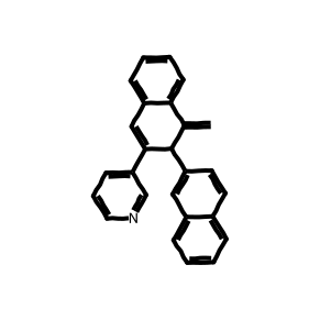 C=C1c2ccccc2C=C(c2cccnc2)C1c1ccc2ccccc2c1